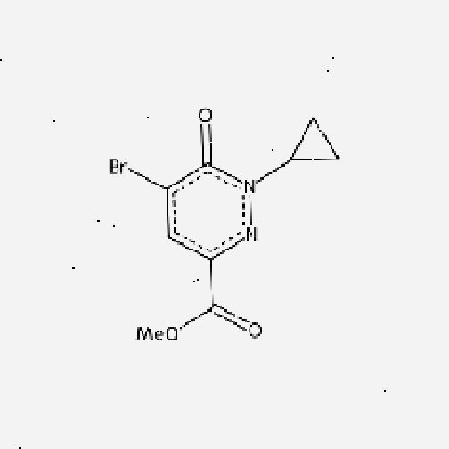 COC(=O)c1cc(Br)c(=O)n(C2CC2)n1